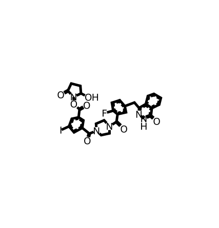 O=C(ON1C(=O)CCC1O)c1cc(I)cc(C(=O)N2CCN(C(=O)c3cc(Cc4n[nH]c(=O)c5ccccc45)ccc3F)CC2)c1